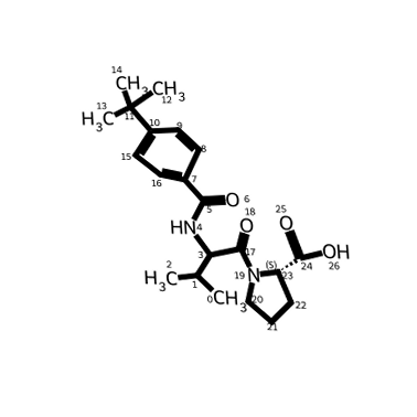 CC(C)C(NC(=O)c1ccc(C(C)(C)C)cc1)C(=O)N1CCC[C@H]1C(=O)O